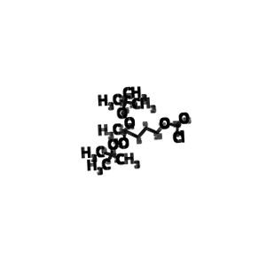 CC(C)(C)OOC(C)(CCCOC(=O)Cl)OOC(C)(C)C